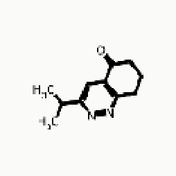 CC(C)c1cc2c(nn1)CCCC2=O